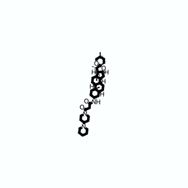 C[C@H]1CC[C@@]2(OC1)O[C@H]1C[C@@]3(C)[C@@H]4CC[C@@H]5C[C@H](NC(=O)CC(=O)N6CCC(N7CCCCC7)CC6)CC[C@]5(C)[C@H]4CC[C@]3(C)[C@H]1[C@@H]2C